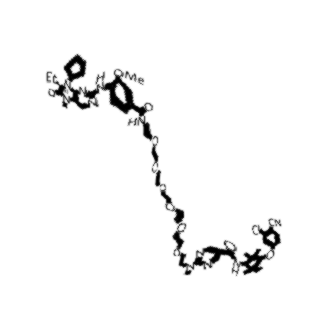 CC[C@@H]1C(=O)N(C)c2cnc(Nc3ccc(C(=O)NCCOCCOCCOCCOCCOCCOCCN(C)c4ncc(C(=O)NC5C(C)(C)C(Oc6ccc(C#N)c(Cl)c6)C5(C)C)cn4)cc3OC)nc2N1C1CCCC1